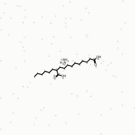 CCCCCCC(CCCCCCCCCC(=O)O)C(=O)O.N.N